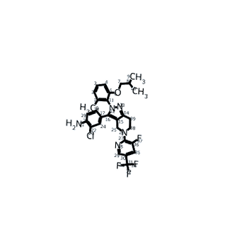 Cc1cccc(OCC(C)C)c1-n1nc2c(c1-c1ccc(N)c(Cl)c1)CN(c1ncc(C(F)(F)F)cc1F)CC2